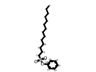 CCCCCCCCCCCCCCS(=O)(=O)Oc1ccccc1